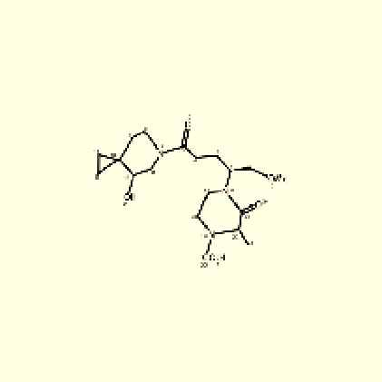 COC[C@H](CCC(=O)N1CCC2(CC2)C(O)C1)N1CCN(C(=O)O)C(C)C1=O